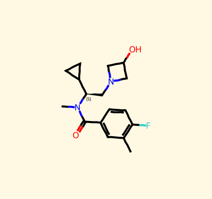 Cc1cc(C(=O)N(C)[C@H](CN2CC(O)C2)C2CC2)ccc1F